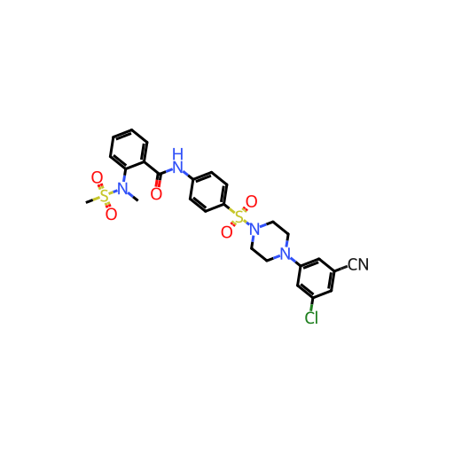 CN(c1ccccc1C(=O)Nc1ccc(S(=O)(=O)N2CCN(c3cc(Cl)cc(C#N)c3)CC2)cc1)S(C)(=O)=O